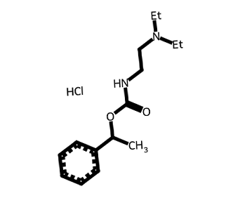 CCN(CC)CCNC(=O)OC(C)c1ccccc1.Cl